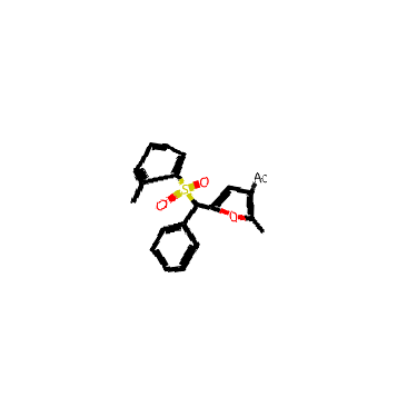 CC(=O)c1cc(C(c2ccccc2)S(=O)(=O)c2ccccc2C)oc1C